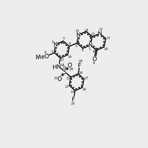 COc1ncc(-c2cn3c(=O)ccnc3cn2)cc1NS(=O)(=O)c1cc(F)ccc1F